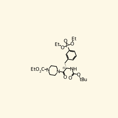 CCOC(=O)N1CCN(C(=O)[C@H](Cc2cccc(P(=O)(OCC)OCC)c2)NC(=O)OC(C)(C)C)CC1